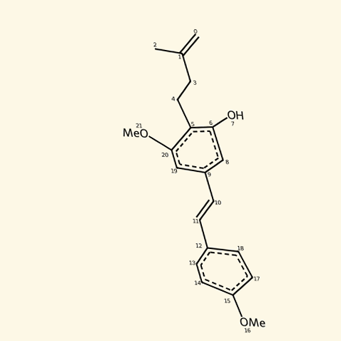 C=C(C)CCc1c(O)cc(C=Cc2ccc(OC)cc2)cc1OC